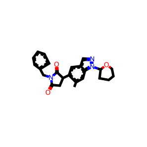 Cc1cc2c(cnn2C2CCCCO2)cc1C1CC(=O)N(Cc2ccccc2)C1=O